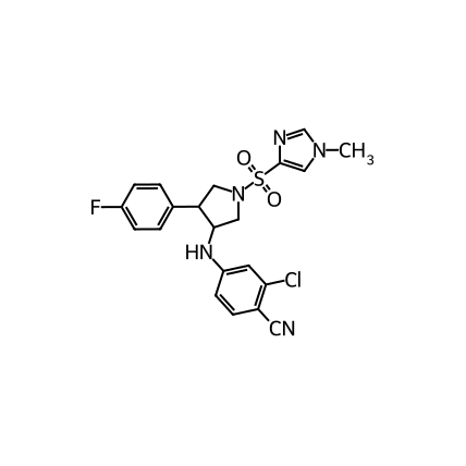 Cn1cnc(S(=O)(=O)N2CC(Nc3ccc(C#N)c(Cl)c3)C(c3ccc(F)cc3)C2)c1